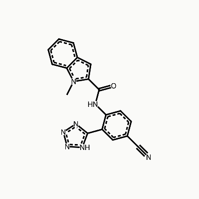 Cn1c(C(=O)Nc2ccc(C#N)cc2-c2nnn[nH]2)cc2ccccc21